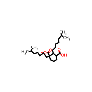 CC(C)CCCCCC1C(C(=O)O)CCCC1(CCCCCC(C)C)C(=O)O